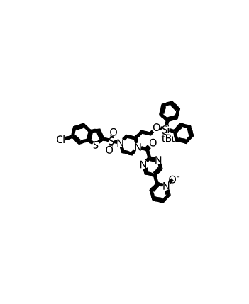 CC(C)(C)[Si](OCCC1CN(S(=O)(=O)c2cc3ccc(Cl)cc3s2)CCN1C(=O)c1ncc(-c2cccc[n+]2[O-])cn1)(c1ccccc1)c1ccccc1